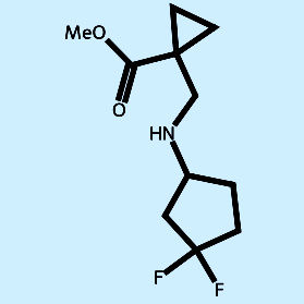 COC(=O)C1(CNC2CCC(F)(F)C2)CC1